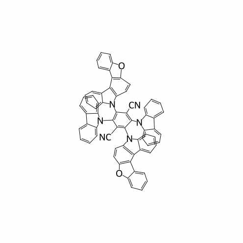 N#Cc1c(-n2c3ccccc3c3ccccc32)c(-n2c3ccccc3c3c4c(ccc32)oc2ccccc24)c(C#N)c(-n2c3ccccc3c3ccccc32)c1-n1c2ccccc2c2c3c(ccc21)oc1ccccc13